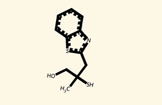 CC(S)(CO)Cc1nc2ccccc2s1